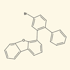 Brc1ccc(-c2ccccc2)c(-c2cccc3c2oc2ccccc23)c1